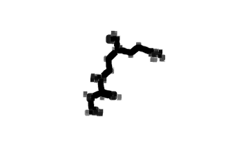 CC(C)(C)OC(=O)NCCN(CCN)N=O